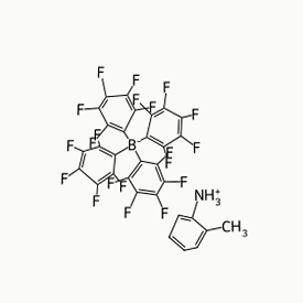 Cc1ccccc1[NH3+].Fc1c(F)c(F)c([B-](c2c(F)c(F)c(F)c(F)c2F)(c2c(F)c(F)c(F)c(F)c2F)c2c(F)c(F)c(F)c(F)c2F)c(F)c1F